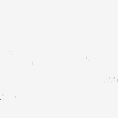 COC1=CC(=O)OC(CCc2ccc(OC)c(OCc3ccccc3)c2)C1